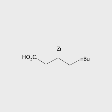 CCCCCCCC(=O)O.[Zr]